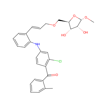 CO[C@H]1O[C@H](COC/C=C/c2ccccc2Nc2ccc(C(=O)c3ccccc3C)c(Cl)c2)[C@@H](O)[C@H]1O